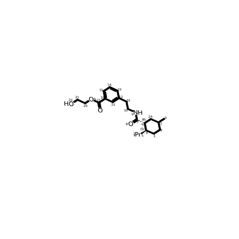 CC1CC[C@@H](C(C)C)[C@H](C(=O)NCCc2cccc(C(=O)OCCO)c2)C1